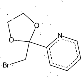 BrCC1(c2ccccn2)OCCO1